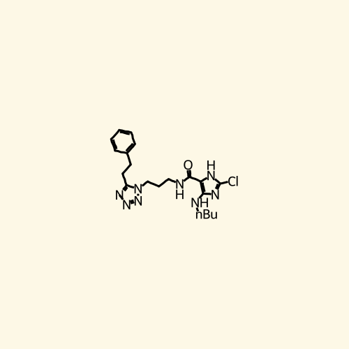 CCCCNc1nc(Cl)[nH]c1C(=O)NCCCn1nnnc1CCc1ccccc1